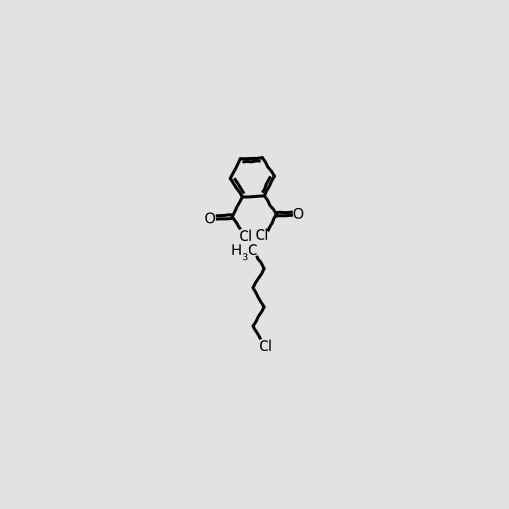 CCCCCCl.O=C(Cl)c1ccccc1C(=O)Cl